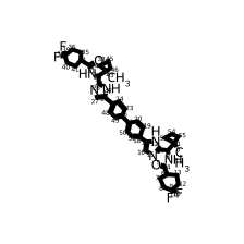 CC1(C(NC(=O)C2CCC(F)(F)CC2)c2ncc(-c3ccc(-c4ccc(-c5cnc([C@@H](NC(=O)C6CCC(F)(F)CC6)C6(C)CCC6)[nH]5)cc4)cc3)[nH]2)CCC1